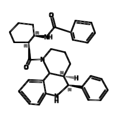 O=C(N[C@@H]1CCCC[C@@H]1C(=O)N1CCC[C@@H]2C1c1ccccc1N[C@@H]2c1ccccc1)c1ccccc1